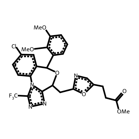 COC(=O)CCc1cnc(CC2OC(c3cccc(OC)c3OC)c3cc(Cl)ccc3-n3c2nnc3C(F)(F)F)o1